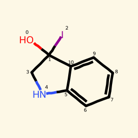 OC1(I)CNc2ccccc21